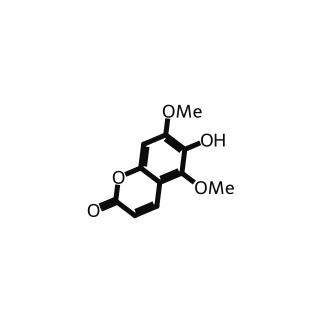 COc1cc2oc(=O)ccc2c(OC)c1O